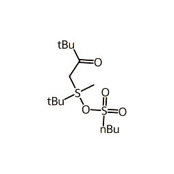 CCCCS(=O)(=O)OS(C)(CC(=O)C(C)(C)C)C(C)(C)C